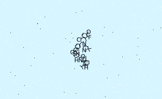 COc1ccc(Cl)c(CN(Cc2cccc(CN3C(C(=O)N[C@@H]4[C@@H]5CC[C@@H](C5)[C@H]4C(C)C)CCS3(=O)=O)c2)[C@H](CN(C)C)CC(C)(C)C)c1F